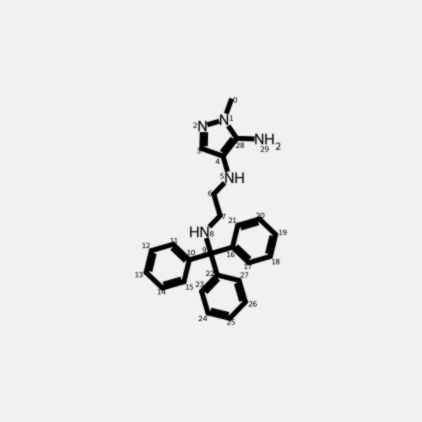 Cn1ncc(NCCNC(c2ccccc2)(c2ccccc2)c2ccccc2)c1N